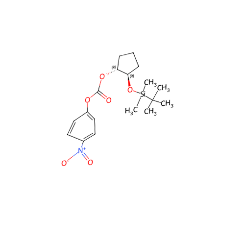 CC(C)(C)[Si](C)(C)O[C@@H]1CCC[C@H]1OC(=O)Oc1ccc([N+](=O)[O-])cc1